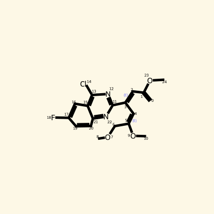 C=C(/C=C(\C=C(/COC)OC)c1nc(Cl)c2cc(F)ccc2n1)OC